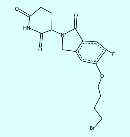 O=C1CCC(N2Cc3cc(OCCCCBr)c(F)cc3C2=O)C(=O)N1